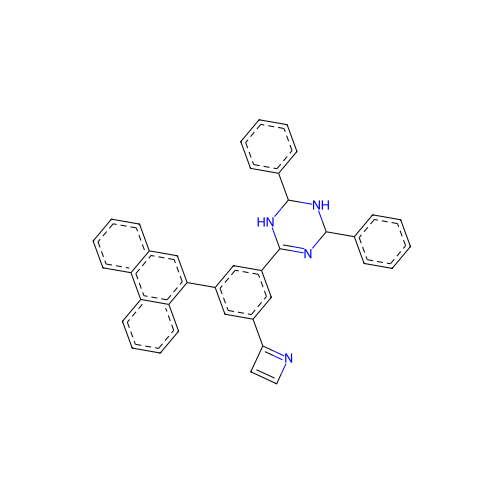 C1=CC(c2cc(C3=NC(c4ccccc4)NC(c4ccccc4)N3)cc(-c3cc4ccccc4c4ccccc34)c2)=N1